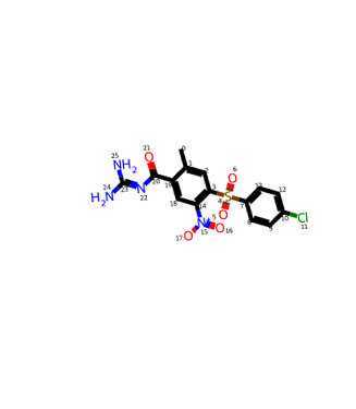 Cc1cc(S(=O)(=O)c2ccc(Cl)cc2)c([N+](=O)[O-])cc1C(=O)N=C(N)N